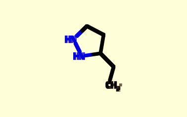 [CH2]CC1CCNN1